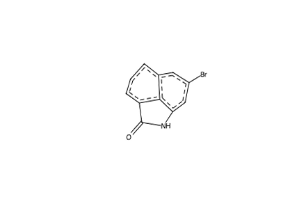 O=C1Nc2cc(Br)cc3cccc1c23